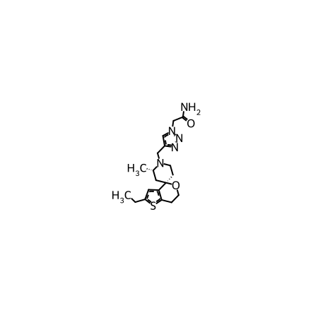 CCc1cc2c(s1)CCO[C@@]21CCN(Cc2cn(CC(N)=O)nn2)[C@@H](C)C1